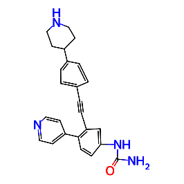 NC(=O)Nc1ccc(-c2ccncc2)c(C#Cc2ccc(C3CCNCC3)cc2)c1